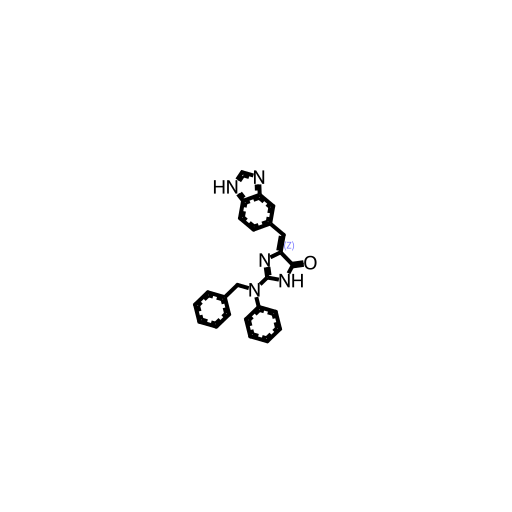 O=C1NC(N(Cc2ccccc2)c2ccccc2)=N/C1=C\c1ccc2[nH]cnc2c1